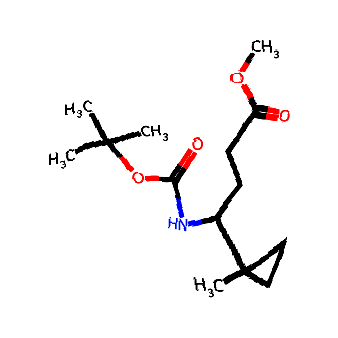 COC(=O)CCC(NC(=O)OC(C)(C)C)C1(C)CC1